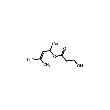 CC(C)=CC(OC(=O)CCO)C(C)(C)C